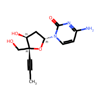 CC#C[C@]1(CO)O[C@@H](n2ccc(N)nc2=O)C[C@@H]1O